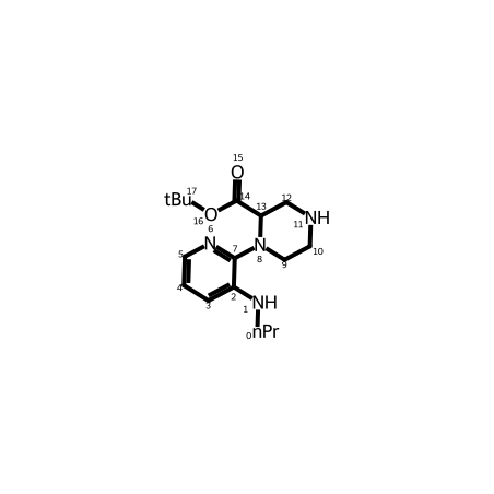 CCCNc1cccnc1N1CCNCC1C(=O)OC(C)(C)C